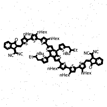 [C-]#[N+]/C(C#N)=C1\C(=Cc2cc(CCCCCC)c(-c3cc(CCCCCC)c(-c4cc(CCCCCC)c(-c5cc6c(-c7ccc(CC(CC)CCCC)s7)c7sc(-c8sc(-c9sc(-c%10sc(C=C%11C(=O)c%12ccccc%12/C%11=C(/C#N)[N+]#[C-])cc%10CCCCCC)cc9CCCCCC)cc8CCCCCC)cc7c(-c7ccc(CC(CC)CCCC)s7)c6s5)s4)s3)s2)C(=O)c2ccccc21